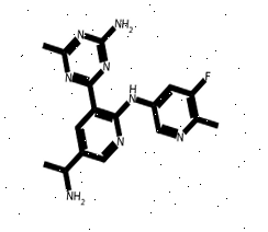 Cc1nc(N)nc(-c2cc(C(C)N)cnc2Nc2cnc(C)c(F)c2)n1